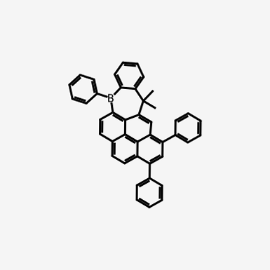 CC1(C)c2ccccc2B(c2ccccc2)c2ccc3ccc4c(-c5ccccc5)cc(-c5ccccc5)c5cc1c2c3c45